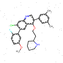 COc1ccc(F)c(-c2cc3c(OCCC4CCCCN4)c(-c4cc(C)cc(C)c4)cnc3cc2Cl)c1